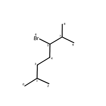 CC(C)CCC(Br)C(C)C